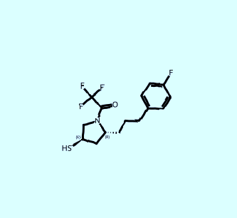 O=C(N1C[C@H](S)C[C@H]1CCCc1ccc(F)cc1)C(F)(F)F